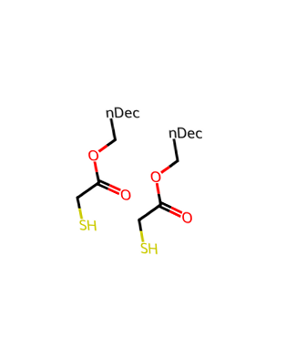 CCCCCCCCCCCOC(=O)CS.CCCCCCCCCCCOC(=O)CS